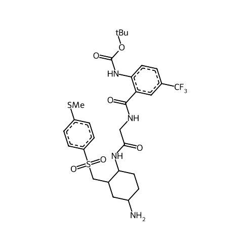 CSc1ccc(S(=O)(=O)CC2CC(N)CCC2NC(=O)CNC(=O)c2cc(C(F)(F)F)ccc2NC(=O)OC(C)(C)C)cc1